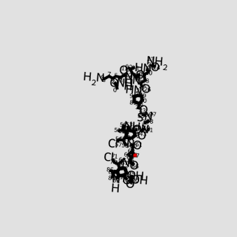 CC(=O)NC(CCCCN)C(=O)NC(C(=O)NC(CCCNC(N)=O)C(=O)Nc1ccc(COC(=S)N(C)CCN(C)C(=O)Oc2cc3c(c4c(C)c[nH]c24)C(CCl)CN3C(=O)C23CC(C(=O)N4CC(CCl)c5c4cc(OP(=O)(O)O)c4[nH]cc(C)c54)(C2)C3)cc1)C(C)C